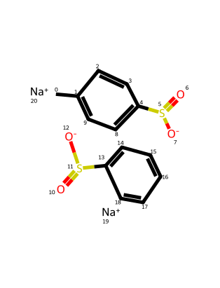 Cc1ccc(S(=O)[O-])cc1.O=S([O-])c1ccccc1.[Na+].[Na+]